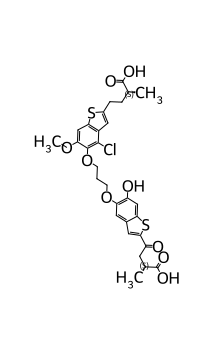 COc1cc2sc(CC[C@H](C)C(=O)O)cc2c(Cl)c1OCCCOc1cc2cc(C(=O)C[C@H](C)C(=O)O)sc2cc1O